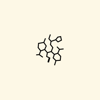 C=CCC(C1CC(C)CCC1C(C)C)C(CCC(CC)C1CCCC1)C1CC(C)CCC1C(C)C